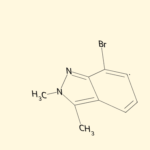 Cc1c2cc[c]c(Br)c2nn1C